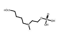 CCCCCCCCCCCCN(C)CCOP(=O)(O)O